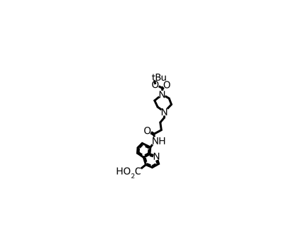 CC(C)(C)OC(=O)N1CCN(CCCC(=O)Nc2cccc3c(C(=O)O)ccnc23)CC1